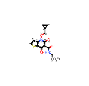 CCOC(=O)CNC(=O)c1c(O)c2sccc2n(OCC2CC2)c1=O